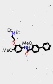 CCN(CC)CCOc1cc(NC(=O)c2ccc(-c3ccccc3)cc2OC)ccc1OC